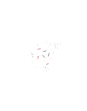 CC(=O)c1c(O[Si](C)(C)C(C)(C)C)cc(O)c(OC(=O)C(C)(C)C)c1C(=O)OC(C)(C)C